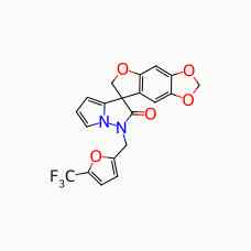 O=C1N(Cc2ccc(C(F)(F)F)o2)n2cccc2C12COc1cc3c(cc12)OCO3